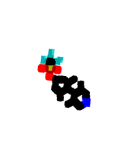 Cc1cncc(C)c1-c1c(C)cc(OS(=O)(=O)C(F)(F)F)cc1C